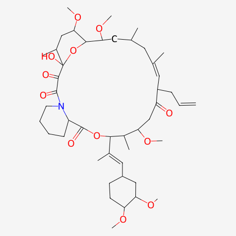 C=CCC1C=C(C)CC(C)CC(OC)C2OC(O)(C(=O)C(=O)N3CCCCC3C(=O)OC(C(C)=CC3CCC(OC)C(OC)C3)C(C)C(OC)CC1=O)C(C)CC2OC